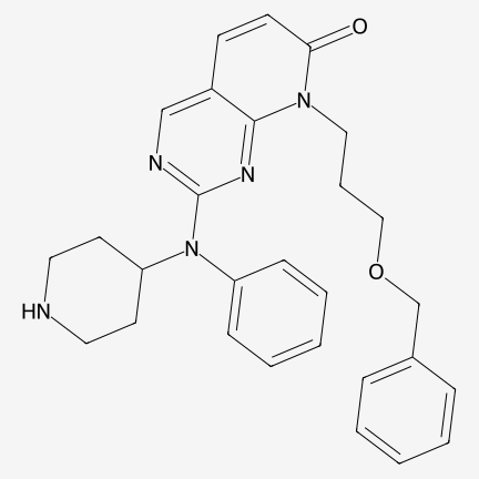 O=c1ccc2cnc(N(c3ccccc3)C3CCNCC3)nc2n1CCCOCc1ccccc1